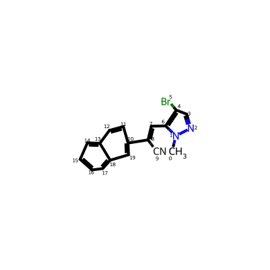 Cn1ncc(Br)c1/C=C(\C#N)c1ccc2ccccc2c1